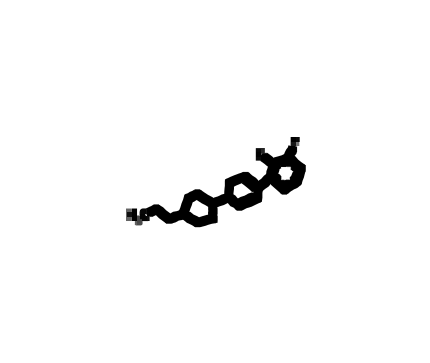 CCCC1CCC(C2C=CC(c3cccc(F)c3F)=CC2)CC1